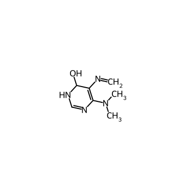 C=NC1=C(N(C)C)N=CNC1O